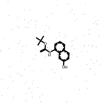 C=C(Nc1cccc2ccc(O)cc12)OC(C)(C)C